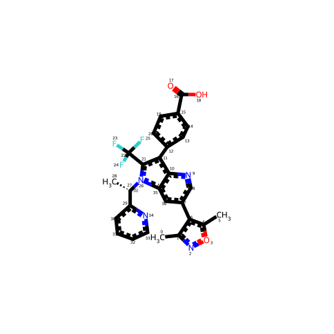 Cc1noc(C)c1-c1cnc2c(-c3ccc(C(=O)O)cc3)c(C(F)(F)F)n([C@@H](C)c3ccccn3)c2c1